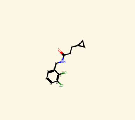 O=C(CCC1CC1)NCc1cccc(Cl)c1Cl